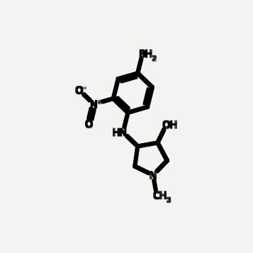 Bc1ccc(NC2CN(C)CC2O)c([N+](=O)[O-])c1